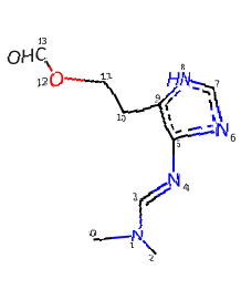 CN(C)C=Nc1nc[nH]c1CCOC=O